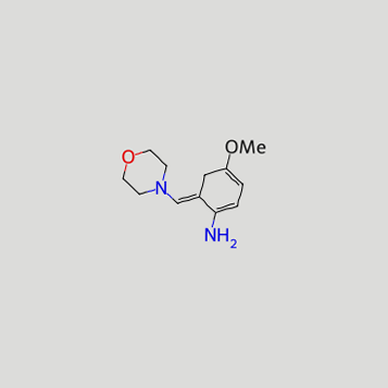 COC1=CC=C(N)C(=CN2CCOCC2)C1